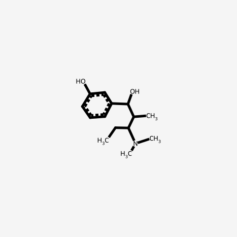 CCC(C(C)C(O)c1cccc(O)c1)N(C)C